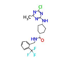 Cc1nc(Cl)nc(N[C@H]2CC[C@@H](C(=O)NCc3ccccc3C(F)(F)F)CC2)n1